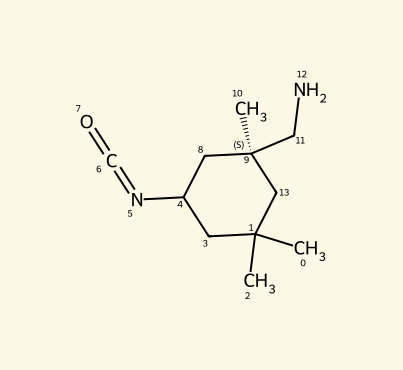 CC1(C)CC(N=C=O)C[C@@](C)(CN)C1